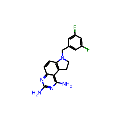 Nc1nc(N)c2c3c(ccc2n1)N(Cc1cc(F)cc(F)c1)CC3